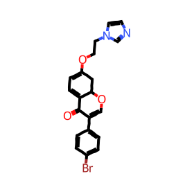 O=C1C(c2ccc(Br)cc2)=COC2CC(OCCn3ccnc3)=CC=C12